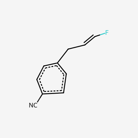 N#Cc1ccc(C/C=C/F)cc1